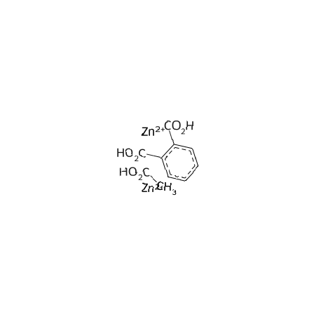 CC(=O)O.O=C(O)c1ccccc1C(=O)O.[Zn+2].[Zn+2]